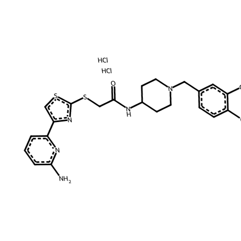 Cl.Cl.Nc1cccc(-c2csc(SCC(=O)NC3CCN(Cc4ccc(Cl)c(Cl)c4)CC3)n2)n1